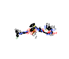 Cc1ncsc1-c1ccc([C@H](C)NC(=O)[C@@H]2C[C@@H](O)CN2C(=O)[C@@H](NC(=O)CCCCCC(=O)N2CC3CN(CC[C@H](CSc4ccccc4)Nc4ccc(S(=O)(=O)NC(=O)c5ccc(N6CCN(CC7=C(c8ccc(Cl)cc8)CCC(C)(C)C7)CC6)cc5)cc4S(=O)(=O)C(F)(F)F)C[C@@H]3C2)C(C)(C)C)cc1